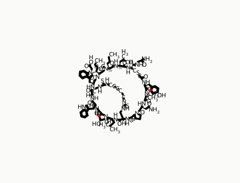 CCCC[C@H]1C(=O)N(C)[C@@H](CCCC)C(=O)N[C@@H](CC(C)C)C(=O)N[C@H](C(=O)NCC(N)=O)CSCC(=O)N[C@@H](Cc2ccc(O)cc2)C(=O)N(C)[C@@H](C)C(=O)N[C@@H](CC(N)=O)C(=O)N2CCC[C@H]2C(=O)N[C@H]2CNC(=S)NCCCCCCNC(=S)NCC[C@H](NC(=O)[C@H](Cc3c[nH]c4ccccc34)NC(=O)[C@@H]3C[C@@H](O)CN3C(=O)[C@H](CC(C)C)NC2=O)C(=O)N[C@@H](Cc2cn(CC(=O)O)c3ccccc23)C(=O)N1C